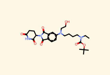 CCN(CCCCN(CCO)c1ccc2c(c1)C(=O)N(C1CCC(=O)NC1=O)C2=O)C(=O)OC(C)(C)C